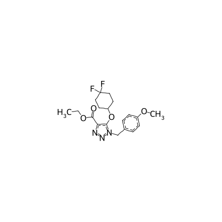 CCOC(=O)c1nnn(Cc2ccc(OC)cc2)c1OC1CCC(F)(F)CC1